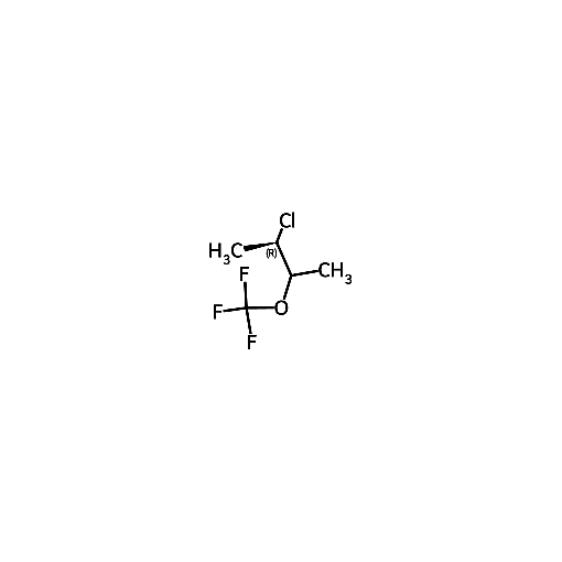 CC(OC(F)(F)F)[C@@H](C)Cl